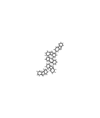 c1ccc2c(c1)oc1cc(-c3ccc(-c4c5ccccc5c(-c5ccc(-c6ccc7oc8ccccc8c7c6)c6c5oc5ccccc56)c5ccccc45)c4c3oc3ccccc34)ccc12